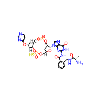 C[C@H](N)C(=O)NCc1ccccc1C(=O)Nc1nc2c(ncn2[C@@H]2O[C@@H]3CO[P@@](=O)(S)O[C@H]4C[C@H](Oc5ccncn5)C[C@@H]4CO[PH](=O)O[C@@H]2C3)c(=O)[nH]1